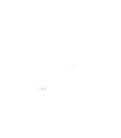 CCC(C)(CO)OC